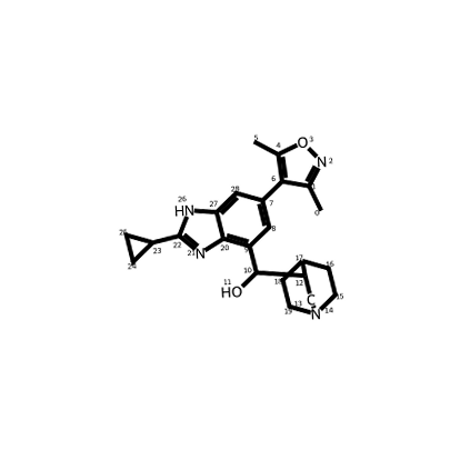 Cc1noc(C)c1-c1cc(C(O)C2CN3CCC2CC3)c2nc(C3CC3)[nH]c2c1